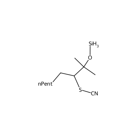 CCCCCCC(SC#N)C(C)(C)O[SiH3]